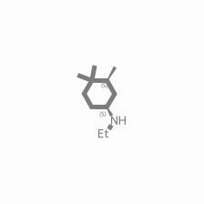 CCN[C@H]1CCC(C)(C)[C@@H](C)C1